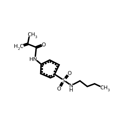 C=C(C)C(=O)Nc1ccc(S(=O)(=O)NCCCC)cc1